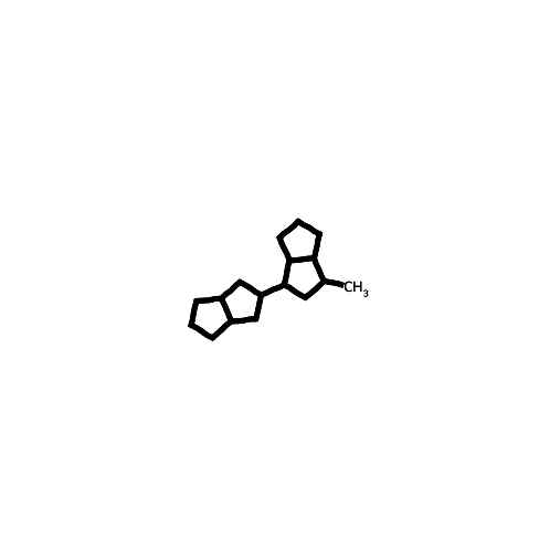 CC1CC(C2CC3CCCC3C2)C2CCCC12